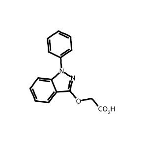 O=C(O)COc1nn(-c2ccccc2)c2ccccc12